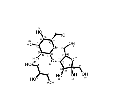 OCC(O)CO.OC[C@H]1O[C@@H](O[C@@H]2[C@@H](CO)O[C@](O)(CO)[C@H]2O)[C@H](O)[C@@H](O)[C@H]1O